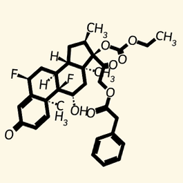 CCOC(=O)O[C@]1(C(=O)COC(=O)Cc2ccccc2)[C@H](C)C[C@H]2[C@@H]3C[C@H](F)C4=CC(=O)C=C[C@]4(C)[C@@]3(F)[C@@H](O)C[C@@]21C